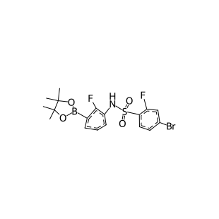 CC1(C)OB(c2cccc(NS(=O)(=O)c3ccc(Br)cc3F)c2F)OC1(C)C